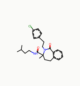 CC(C)CCNC(=O)C1(C)CCc2ccccc2C(=O)N1CCc1ccc(Cl)cc1